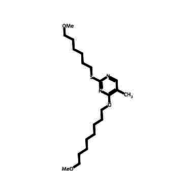 COCCCCCCCCOc1nc(SCCCCCCOC)ncc1C